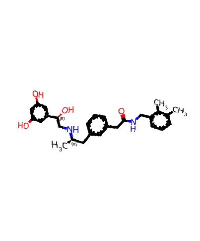 Cc1cccc(CNC(=O)Cc2cccc(C[C@@H](C)NC[C@H](O)c3cc(O)cc(O)c3)c2)c1C